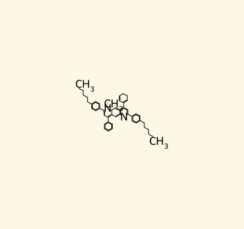 CCCCCCc1ccc(C2=CC(c3ccccc3)=C3C=c4nc(-c5ccc(CCCCCC)cc5)cc(C5=CCCC=C5)c4=CC3N2C)cc1